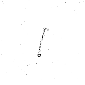 [CH2]COCCOCCOCCOCCOCCOCc1ccccc1